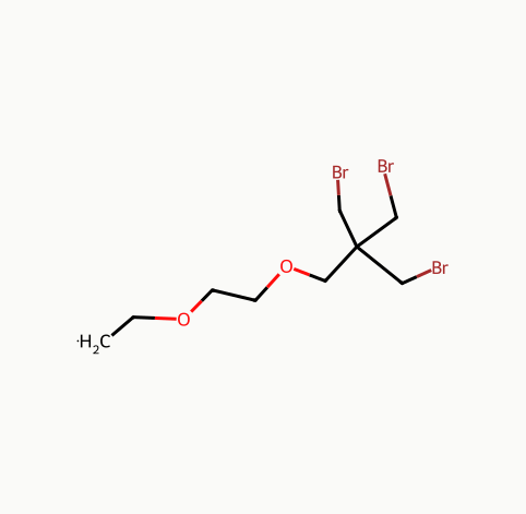 [CH2]COCCOCC(CBr)(CBr)CBr